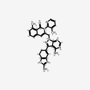 Cc1cccnc1-n1c(Cn2nc(C3=Cc4nc(N)oc4CC3)c3c(N)ncnc32)cc2cccc(C)c2c1=O